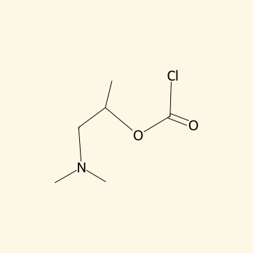 CC(CN(C)C)OC(=O)Cl